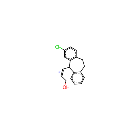 OC/C=C\C1c2ccccc2CCc2ccc(Cl)cc21